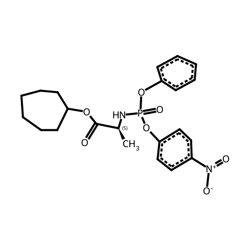 C[C@H](NP(=O)(Oc1ccccc1)Oc1ccc([N+](=O)[O-])cc1)C(=O)OC1CCCCCC1